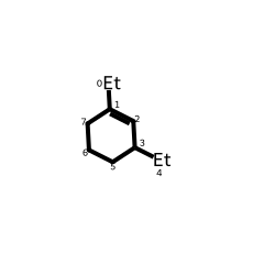 CCC1=CC(CC)CCC1